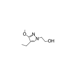 CCc1cn(CCO)nc1OC